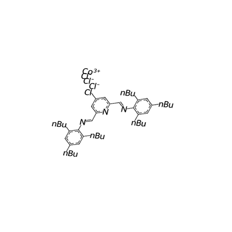 CCCCc1cc(CCCC)c(N=Cc2cc(Cl)cc(C=Nc3c(CCCC)cc(CCCC)cc3CCCC)n2)c(CCCC)c1.[Cl-].[Cl-].[Cl-].[Co+3]